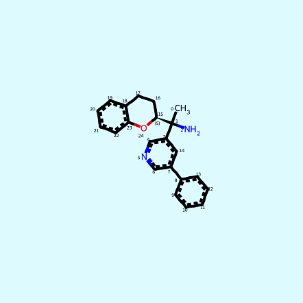 CC(N)(c1cncc(-c2ccccc2)c1)[C@@H]1CCc2ccccc2O1